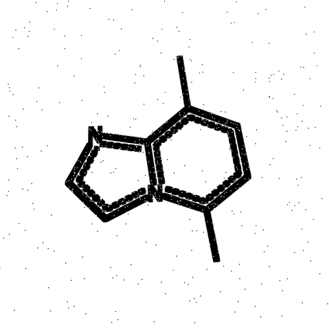 Cc1ccc(C)n2ccnc12